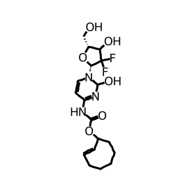 O=C(NC1=NC(O)N([C@@H]2O[C@H](CO)C(O)C2(F)F)C=C1)OC1/C=C/CCCCC1